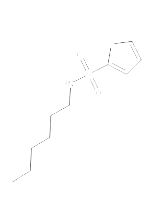 CCCCCCNS(=O)(=O)c1cc[c]s1